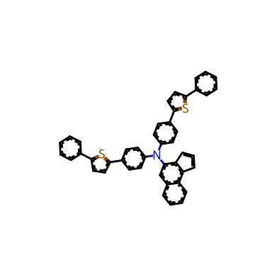 C1=Cc2c(N(c3ccc(-c4ccc(-c5ccccc5)s4)cc3)c3ccc(-c4ccc(-c5ccccc5)s4)cc3)cc3ccccc3c2C=1